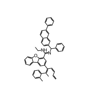 C=C/C=C\C(=C(/C)c1ccccc1C)c1cc(/C(=N/C(c2ccccc2)c2ccc3ccc(-c4ccccc4)cc3c2)NCC)c2oc3ccccc3c2c1